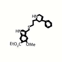 CCOC(=O)c1cc2[nH]cc(CSCCC3CC(c4ccccc4)=CCN3)c2cc1OC